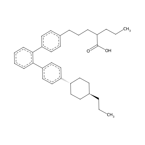 CCCC(CCCc1ccc(-c2ccccc2-c2ccc([C@H]3CC[C@H](CCC)CC3)cc2)cc1)C(=O)O